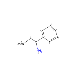 CNCC(N)c1ccccc1